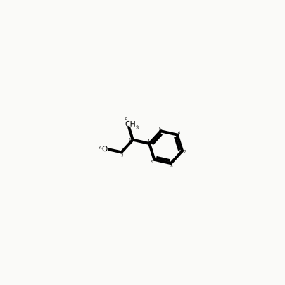 CC(C[O])c1ccccc1